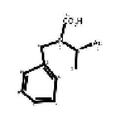 CC(=O)[C@@H](C)N(Cc1ccccc1)C(=O)O